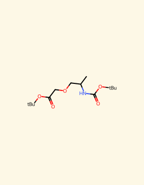 CC(COCC(=O)OC(C)(C)C)NC(=O)OC(C)(C)C